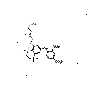 COCCOCOc1cc([Se]c2ccc(C(=O)O)cc2OC)cc2c1C(C)(C)CCC2(C)C